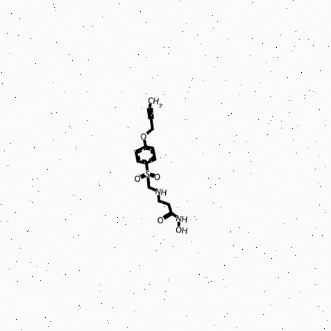 CC#CCOc1ccc(S(=O)(=O)CNCCC(=O)NO)cc1